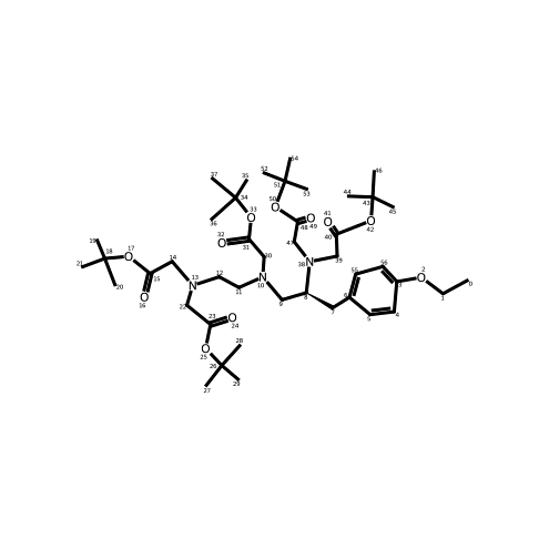 CCOc1ccc(C[C@@H](CN(CCN(CC(=O)OC(C)(C)C)CC(=O)OC(C)(C)C)CC(=O)OC(C)(C)C)N(CC(=O)OC(C)(C)C)CC(=O)OC(C)(C)C)cc1